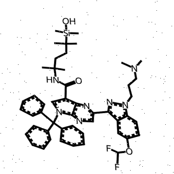 CN(C)CCCn1nc(-c2cnc3c(n2)c(C(=O)NC(C)(C)CCC(C)(C)[Si](C)(C)O)cn3C(c2ccccc2)(c2ccccc2)c2ccccc2)c2cc(OC(F)F)ccc21